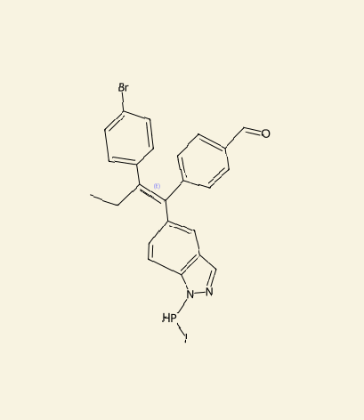 CC/C(=C(/c1ccc(C=O)cc1)c1ccc2c(cnn2PI)c1)c1ccc(Br)cc1